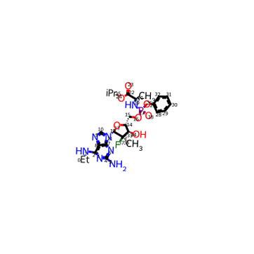 CCNc1nc(N)nc2c1ncn2[C@@H]1O[C@H](CO[P@](=O)(N[C@H](C)C(=O)OC(C)C)Oc2ccccc2)[C@@H](O)[C@@]1(C)F